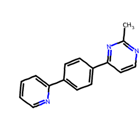 Cc1nccc(-c2ccc(-c3ccccn3)cc2)n1